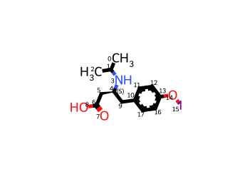 CC(C)N[C@H](CC(=O)O)Cc1ccc(OI)cc1